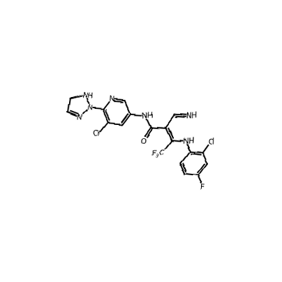 N=C/C(C(=O)Nc1cnc(N2N=CCN2)c(Cl)c1)=C(\Nc1ccc(F)cc1Cl)C(F)(F)F